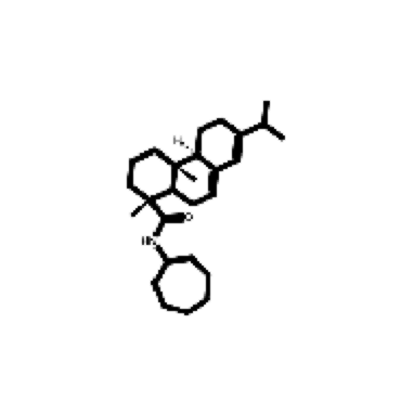 CC(C)C1=CC2=CCC3[C@](C)(C(=O)NC4CCCCCC4)CCC[C@]3(C)[C@H]2CC1